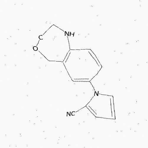 N#Cc1cccn1-c1ccc2c(c1)COCCN2